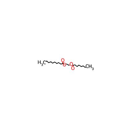 CCCCCCCCCC(=O)OCCOC(=O)CCCCCCC